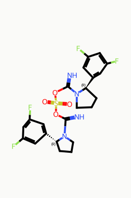 N=C(OS(=O)(=O)OC(=N)N1CCC[C@@H]1c1cc(F)cc(F)c1)N1CCC[C@@H]1c1cc(F)cc(F)c1